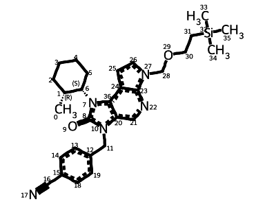 C[C@@H]1CCCC[C@@H]1n1c(=O)n(Cc2ccc(C#N)cc2)c2cnc3c(ccn3COCC[Si](C)(C)C)c21